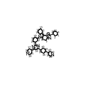 c1ccc(-c2nc3ccc4c(c5ccccc5n4-c4cccc(-c5nc(-c6ccncc6)cc(-c6ccc(-c7ccncc7)cc6)n5)c4)c3o2)cc1